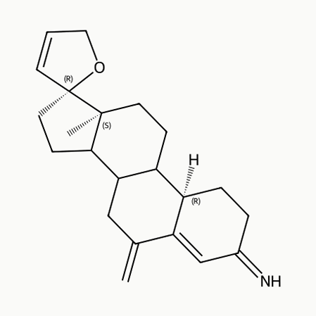 C=C1CC2C(CC[C@@]3(C)C2CC[C@@]32C=CCO2)[C@H]2CCC(=N)C=C12